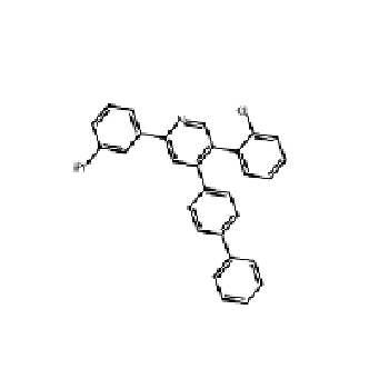 CC(C)c1cccc(-c2cc(-c3ccc(-c4ccccc4)cc3)c(-c3ccccc3Cl)cn2)c1